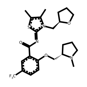 Cc1sc(=NC(=O)c2cc(C(F)(F)F)ccc2OC[C@@H]2CCCN2C)n(C[C@H]2CCCO2)c1C